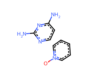 Nc1ccnc(N)n1.[O-][n+]1ccccc1